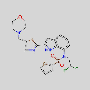 O=S(=O)(c1cccs1)N(CC(F)F)c1cccc2cc(C3=NCC(CN4CCOCC4)S3)[nH]c12